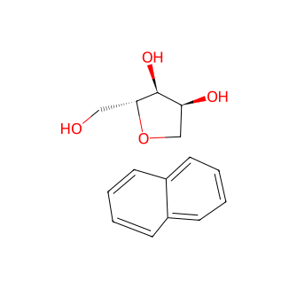 OC[C@H]1OC[C@H](O)[C@@H]1O.c1ccc2ccccc2c1